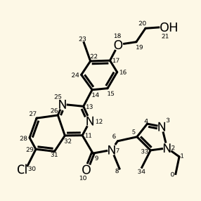 CCn1ncc(CN(C)C(=O)c2nc(-c3ccc(OCCO)c(C)c3)nc3ccc(Cl)cc23)c1C